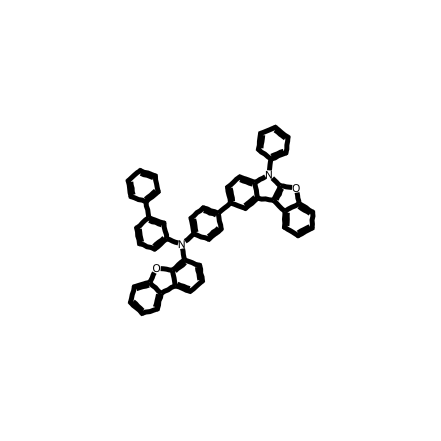 c1ccc(-c2cccc(N(c3ccc(-c4ccc5c(c4)c4c6ccccc6oc4n5-c4ccccc4)cc3)c3cccc4c3oc3ccccc34)c2)cc1